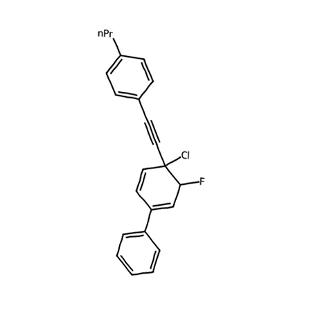 CCCc1ccc(C#CC2(Cl)C=CC(c3ccccc3)=CC2F)cc1